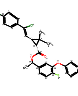 CC1(C)[C@H](/C=C(\Cl)c2ccc(Cl)cc2)[C@H]1C(=O)O[C@H](C#N)c1ccc(F)c(Oc2ccccc2)c1